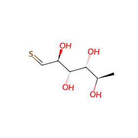 C[C@@H](O)[C@@H](O)[C@H](O)[C@H](O)C=S